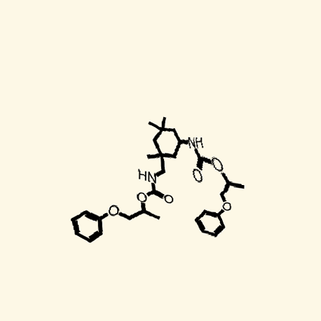 CC(COc1ccccc1)OC(=O)NCC1(C)CC(NC(=O)OC(C)COc2ccccc2)CC(C)(C)C1